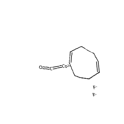 C1=CCCC=CCC1.O=[C]=[Co+2].[F-].[F-]